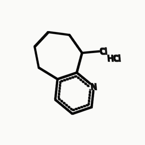 Cl.ClC1CCCCc2cccnc21